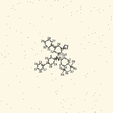 Cc1cc2c(cc1N(c1ccc(-c3ccccc3)cc1)c1cc(Cl)cc(-c3ccccc3)c1)C(C)(C)CCC2(C)C